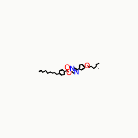 C=CCCCCCCCc1ccc(C(=O)Oc2cnc(-c3ccc(OCCC[C@@H](C)CC)cc3)cn2)cc1